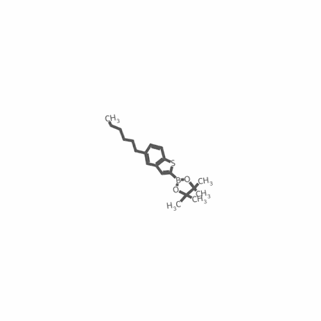 CCCCCCc1ccc2sc(B3OC(C)(C)C(C)(C)O3)cc2c1